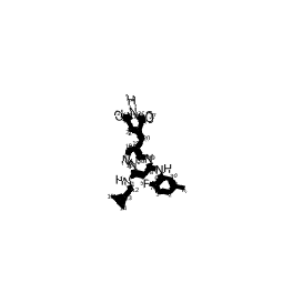 Cc1ccc(F)c(Nc2cc(NCC3CC3)n3ncc(/C=C4\CC(=O)NC4=O)c3n2)c1